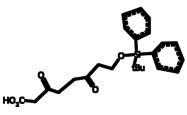 CC(C)(C)[Si](OCCC(=O)CCC(=O)CC(=O)O)(c1ccccc1)c1ccccc1